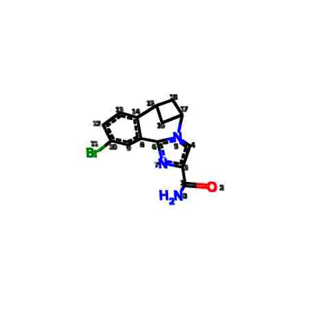 NC(=O)c1cn2c(n1)-c1cc(Br)ccc1C1CC2C1